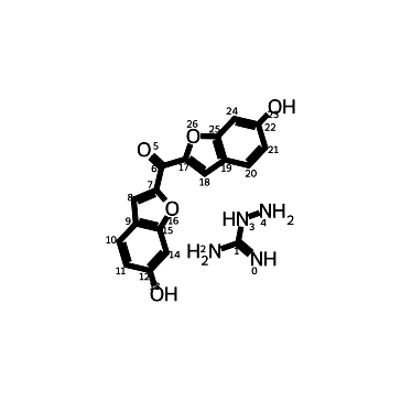 N=C(N)NN.O=C(c1cc2ccc(O)cc2o1)c1cc2ccc(O)cc2o1